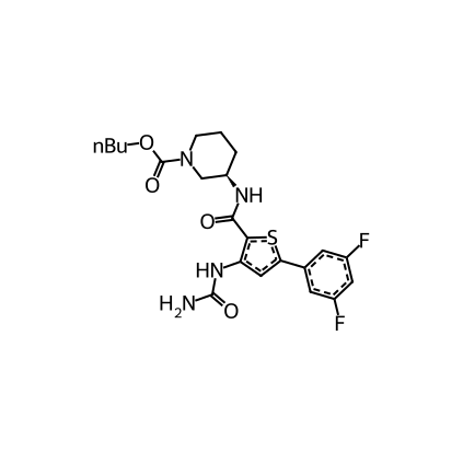 CCCCOC(=O)N1CCC[C@@H](NC(=O)c2sc(-c3cc(F)cc(F)c3)cc2NC(N)=O)C1